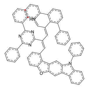 N=C/C(=C\C(=C\c1cccc2oc3cc4c5ccccc5n(-c5ccccc5)c4cc3c12)c1nc(-c2ccccc2)nc(-c2ccccc2)n1)c1c(-c2ccccc2)cccc1-c1ccccc1